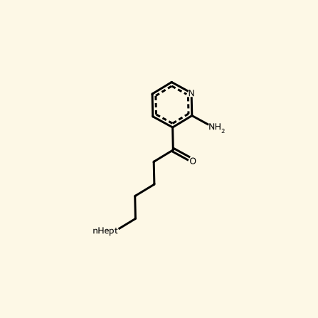 CCCCCCCCCCCC(=O)c1cccnc1N